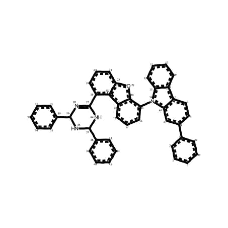 c1ccc(-c2ccc3c4ccccc4n(-c4cccc5c4oc4cccc(C6=NC(c7ccccc7)NC(c7ccccc7)N6)c45)c3c2)cc1